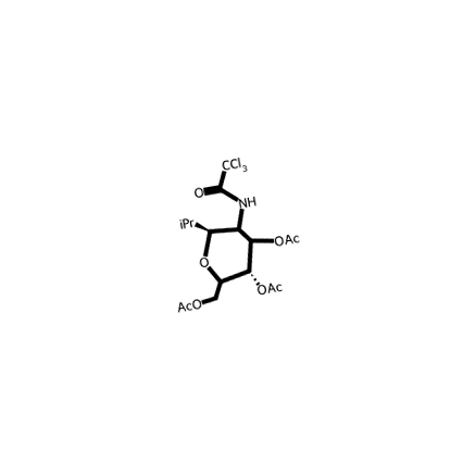 CC(=O)OCC1O[C@@H](C(C)C)C(NC(=O)C(Cl)(Cl)Cl)C(OC(C)=O)[C@@H]1OC(C)=O